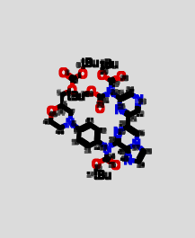 CC(C)(C)OC(=O)OC[C@H]1CN(c2ccc(N(C(=O)OC(C)(C)C)c3nc(-c4cncc(N(C(=O)OC(C)(C)C)C(=O)OC(C)(C)C)n4)cn4ccnc34)cc2)CCO1